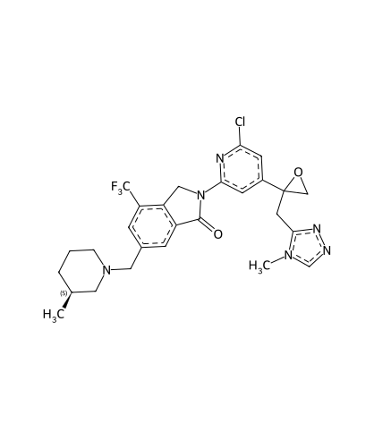 C[C@H]1CCCN(Cc2cc3c(c(C(F)(F)F)c2)CN(c2cc(C4(Cc5nncn5C)CO4)cc(Cl)n2)C3=O)C1